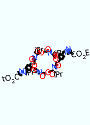 CCOC(=O)c1cnn(Cc2ccc(C[C@H]3OC(=O)[C@H](CC(C)C)N(C)C(=O)[C@@H](C)OC(=O)[C@H](CC(C)C)N(C)C(=O)[C@@H](Cc4ccc(Cn5cc(C(=O)OCC)cn5)cc4)OC(=O)[C@H](CC(C)C)N(C)C(=O)[C@@H](C)OC(=O)[C@H](CC(C)C)N(C)C3=O)cc2)c1